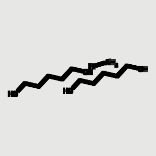 C[CH2][AlH2].OCCCCCO.OCCCCCO